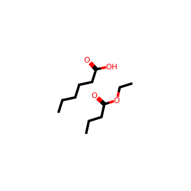 CCCC(=O)OCC.CCCCCC(=O)O